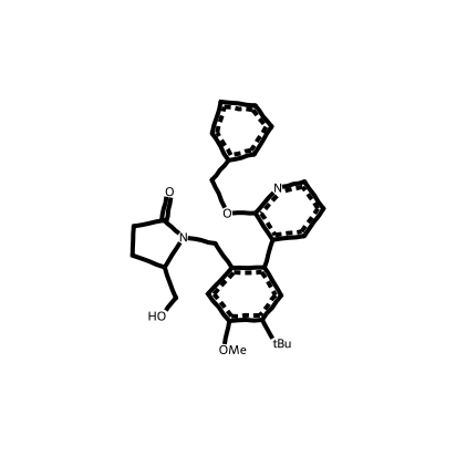 COc1cc(CN2C(=O)CCC2CO)c(-c2cccnc2OCc2ccccc2)cc1C(C)(C)C